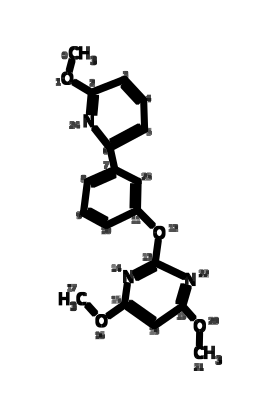 COc1cccc(-c2cccc(Oc3nc(OC)cc(OC)n3)c2)n1